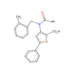 CCCC(=O)N(Cc1ccccc1C)c1cc(-c2ccccc2)sc1C(=O)O